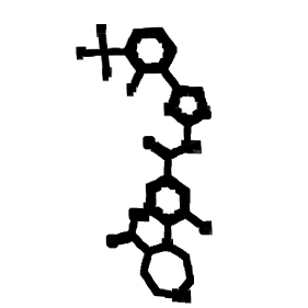 O=C(Nc1nc(-c2cccc(C(F)(F)F)c2F)cs1)c1cnc(N2CCNCCC2C(=O)O)c(Cl)c1